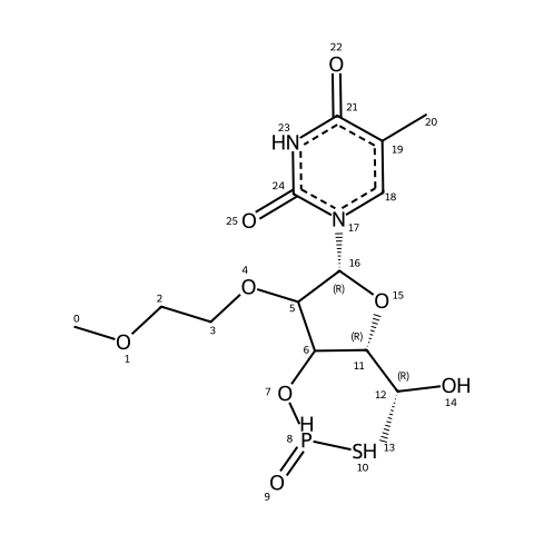 COCCOC1C(O[PH](=O)S)[C@@H]([C@@H](C)O)O[C@H]1n1cc(C)c(=O)[nH]c1=O